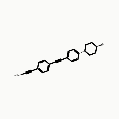 CCCCCCC#Cc1ccc(C#Cc2ccc([C@H]3CC[C@H](CC)CC3)cc2)cc1